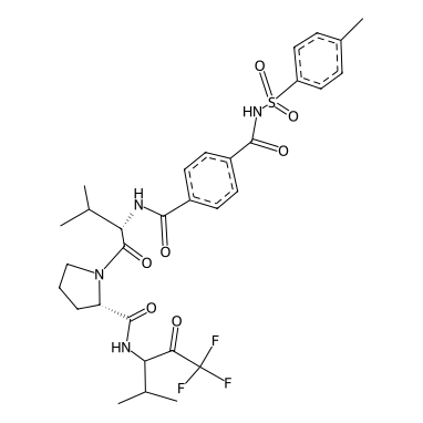 Cc1ccc(S(=O)(=O)NC(=O)c2ccc(C(=O)N[C@H](C(=O)N3CCC[C@H]3C(=O)NC(C(=O)C(F)(F)F)C(C)C)C(C)C)cc2)cc1